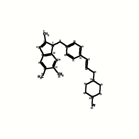 Cc1cc2nc(C)n(Cc3ccc(C=CCN4CCN(C(C)C)CC4)cc3)c2nc1C